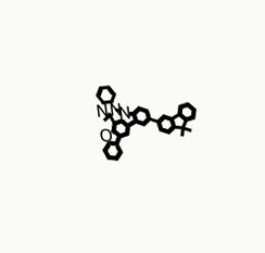 CC1(C)c2ccccc2-c2cc(-c3ccc4c(c3)c3cc5c(oc6ccccc65)c5c3n4N3C4C=CC=CC4=NC53C)ccc21